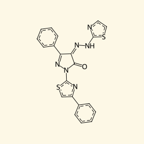 O=C1/C(=N\Nc2nccs2)C(c2ccccc2)=NN1c1nc(-c2ccccc2)cs1